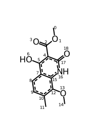 COC(=O)c1c(O)c2ccc(C)c(OC)c2[nH]c1=O